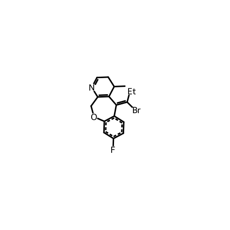 CC/C(Br)=C1\C2=C(COc3cc(F)ccc31)N=CCC2C